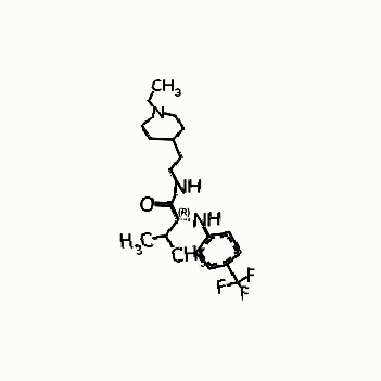 CCN1CCC(CCNC(=O)[C@H](Nc2ccc(C(F)(F)F)cc2)C(C)C)CC1